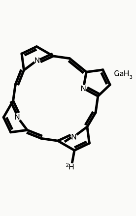 [2H]C1=CC2=CC3=NC(=CC4=NC(=CC5=NC(=CC1=N2)C=C5)C=C4)C=C3.[GaH3]